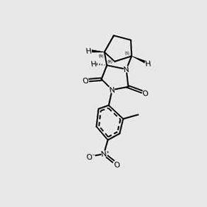 Cc1cc([N+](=O)[O-])ccc1N1C(=O)[C@H]2[C@@H]3CC[C@@H](C3)N2C1=O